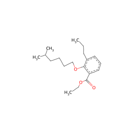 CCCc1cccc(C(=O)OCC)c1OCCCCC(C)C